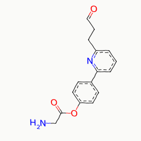 NCC(=O)Oc1ccc(-c2cccc(CCC=O)n2)cc1